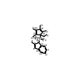 CC[C]1([Zr]([F])([F])[CH]2C(C)=Cc3ccccc32)C(C)=C(C)C(C)=C1C